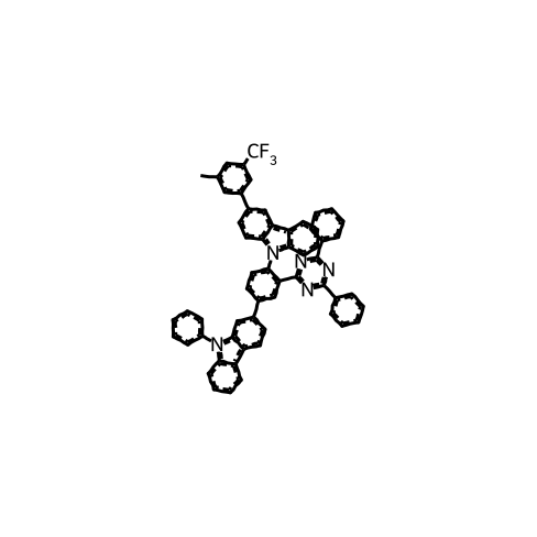 Cc1cc(-c2ccc3c(c2)c2ccccc2n3-c2ccc(-c3ccc4c5ccccc5n(-c5ccccc5)c4c3)cc2-c2nc(-c3ccccc3)nc(-c3ccccc3)n2)cc(C(F)(F)F)c1